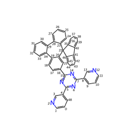 c1cncc(-c2nc(-c3cccnc3)nc(-c3ccc4c(c3)C3(c5ccccc5-c5ccccc5-4)c4ccccc4-c4ccccc43)n2)c1